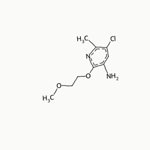 COCCOc1nc(C)c(Cl)cc1N